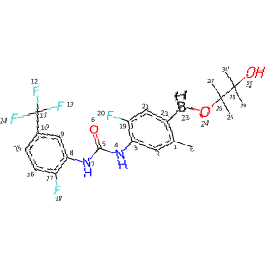 Cc1cc(NC(=O)Nc2cc(C(F)(F)F)ccc2F)c(F)cc1BOC(C)(C)C(C)(C)O